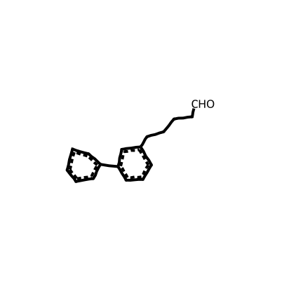 O=CCCCCc1cccc(-c2ccccc2)c1